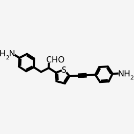 Nc1ccc(C#Cc2ccc(C(C=O)Cc3ccc(N)cc3)s2)cc1